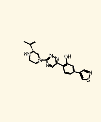 CC(C)[C@H]1CN(c2ncc(-c3ccc(-c4cnsc4)cc3O)nn2)CCN1